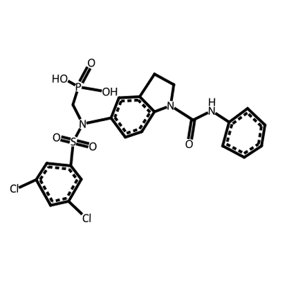 O=C(Nc1ccccc1)N1CCc2cc(N(CP(=O)(O)O)S(=O)(=O)c3cc(Cl)cc(Cl)c3)ccc21